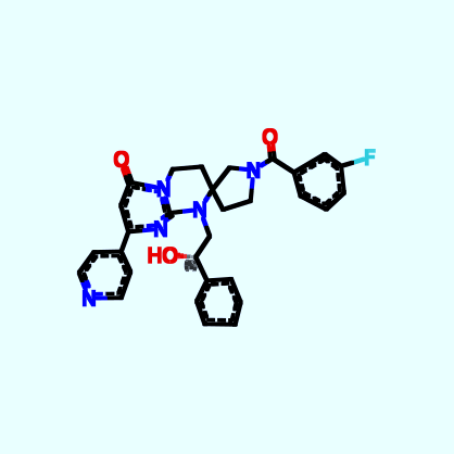 O=C(c1cccc(F)c1)N1CCC2(CCn3c(nc(-c4ccncc4)cc3=O)N2C[C@@H](O)c2ccccc2)C1